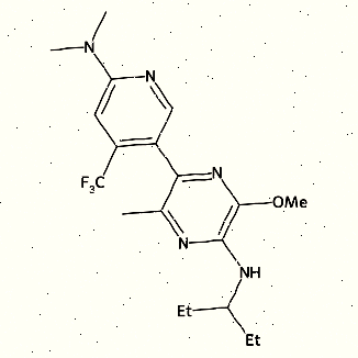 CCC(CC)Nc1nc(C)c(-c2cnc(N(C)C)cc2C(F)(F)F)nc1OC